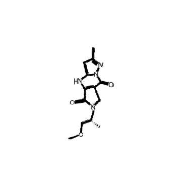 COC[C@@H](C)N1Cc2c([nH]c3cc(C)nn3c2=O)C1=O